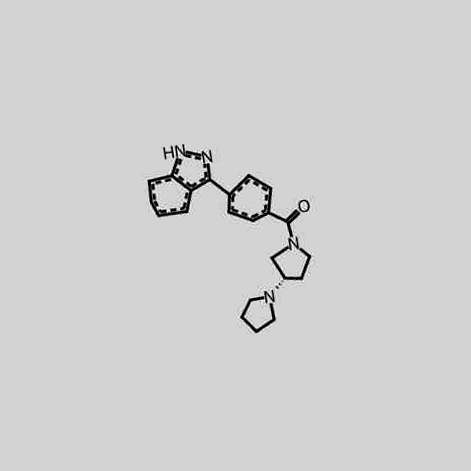 O=C(c1ccc(-c2n[nH]c3ccccc23)cc1)N1CC[C@H](N2CCCC2)C1